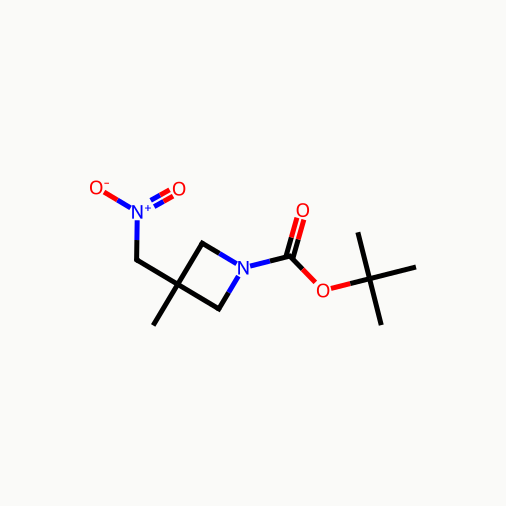 CC1(C[N+](=O)[O-])CN(C(=O)OC(C)(C)C)C1